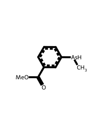 COC(=O)c1cccc([AsH]C)c1